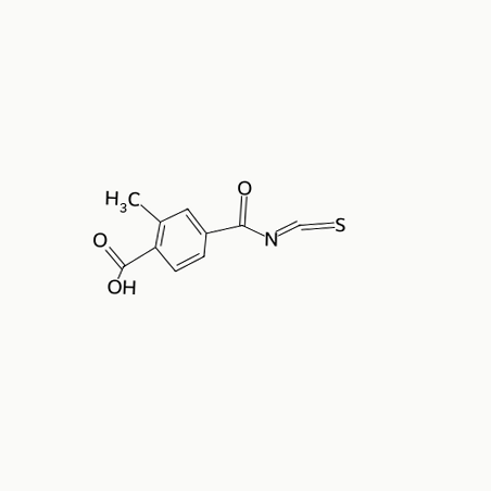 Cc1cc(C(=O)N=C=S)ccc1C(=O)O